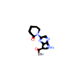 CC(C)(C)C(=O)c1c[nH]c2ncc(N3CCCCC3=O)nc12